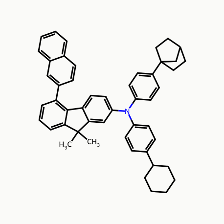 CC1(C)c2cc(N(c3ccc(C4CCCCC4)cc3)c3ccc(C45CCC(CC4)C5)cc3)ccc2-c2c(-c3ccc4ccccc4c3)cccc21